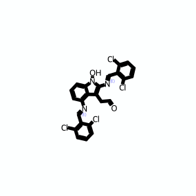 O=CCc1c(/N=C/c2c(Cl)cccc2Cl)n(O)c2cccc(/N=C/c3c(Cl)cccc3Cl)c12